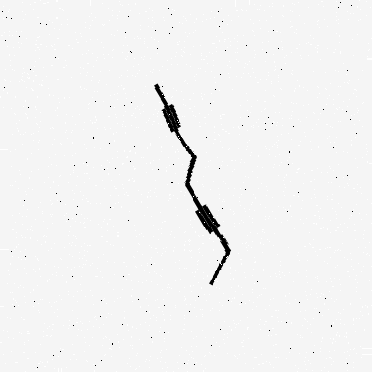 CC#CCCC#CCC